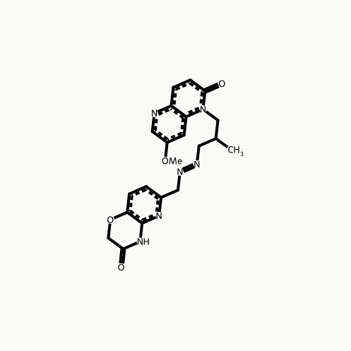 COc1cnc2ccc(=O)n(CC(C)CN=NCc3ccc4c(n3)NC(=O)CO4)c2c1